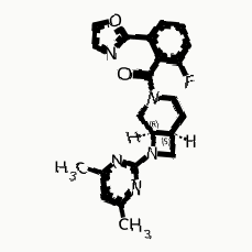 Cc1cc(C)nc(N2C[C@@H]3CCN(C(=O)c4c(F)cccc4-c4ncco4)C[C@@H]32)n1